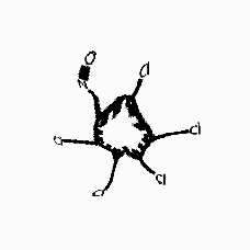 O=Nc1c(Cl)c(Cl)c(Cl)c(Cl)c1Cl